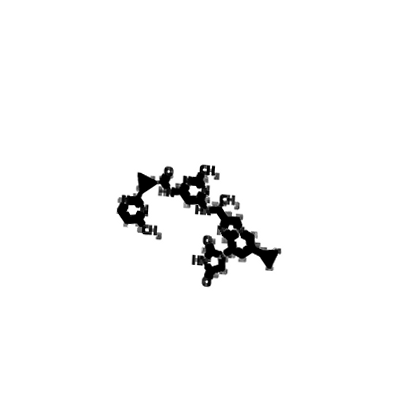 Cc1ccnc([C@H]2C[C@@H]2C(=O)Nc2cc(N[C@H](C)c3cn4cc(C5CC5)cc(N5CC(=O)NC5=O)c4n3)nc(C)n2)n1